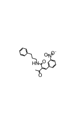 CC(=O)C(=Cc1cccc([N+](=O)[O-])c1)C(=O)NCCCc1ccccc1